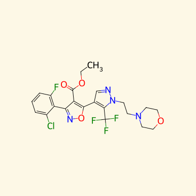 CCOC(=O)c1c(-c2c(F)cccc2Cl)noc1-c1cnn(CCN2CCOCC2)c1C(F)(F)F